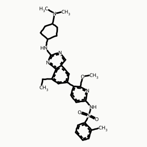 CCc1cc(-c2ccc(NS(=O)(=O)c3ccccc3C)nc2OC)cc2cnc(NC3CCC(N(C)C)CC3)nc12